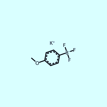 COc1ccc([B-](F)(F)F)cc1.[K+]